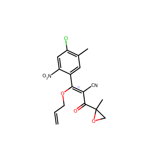 C=CCO/C(=C(/C#N)C(=O)C1(C)CO1)c1cc(C)c(Cl)cc1[N+](=O)[O-]